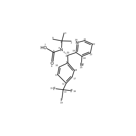 CC(C)(C)N(C(=O)O)[C@@H](c1ccc(C(F)(F)F)cc1)c1ncccc1Br